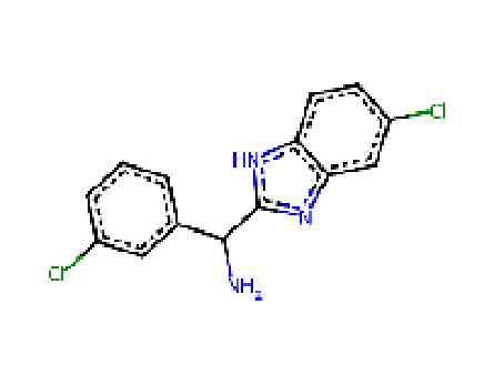 NC(c1cccc(Cl)c1)c1nc2cc(Cl)ccc2[nH]1